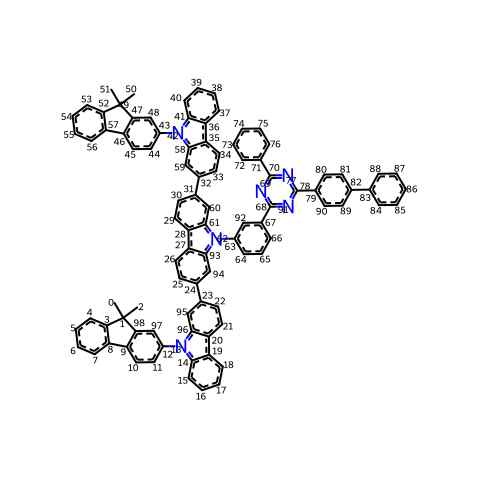 CC1(C)c2ccccc2-c2ccc(-n3c4ccccc4c4ccc(-c5ccc6c7ccc(-c8ccc9c%10ccccc%10n(-c%10ccc%11c(c%10)C(C)(C)c%10ccccc%10-%11)c9c8)cc7n(-c7cccc(-c8nc(-c9ccccc9)nc(-c9ccc(-c%10ccccc%10)cc9)n8)c7)c6c5)cc43)cc21